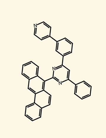 c1ccc(-c2cc(-c3cccc(-c4ccncc4)c3)nc(-c3c4ccccc4cc4c3ccc3ccccc34)n2)cc1